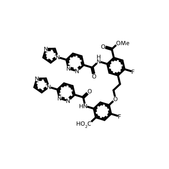 COC(=O)c1cc(F)c(CCOc2cc(NC(=O)c3ccc(-n4ccnc4)nn3)c(C(=O)O)cc2F)cc1NC(=O)c1ccc(-n2ccnc2)nn1